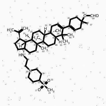 C=C(C)[C@@H]1CC[C@]2(NCCN3CCC(S(C)(=O)=O)CC3)CC[C@]3(C)[C@H](CC[C@@H]4[C@@]5(C)CC=C(C6=CCC(F)(OC=O)CC6)C(C)(C)[C@@H]5CC[C@]43C)[C@@H]12